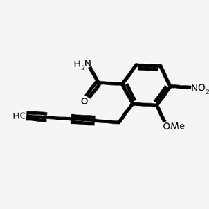 C#CC#CCc1c(C(N)=O)ccc([N+](=O)[O-])c1OC